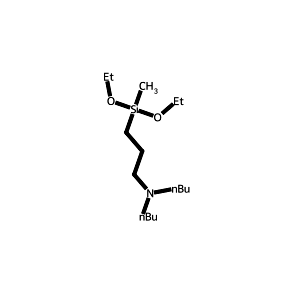 CCCCN(CCCC)CCC[Si](C)(OCC)OCC